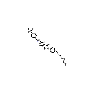 [N-]=[N+]=NCCCCc1ccc(NC(=O)c2coc(/C=C/c3ccc(C(F)(F)F)cc3)n2)cc1